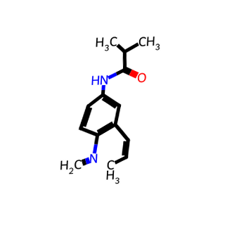 C=Nc1ccc(NC(=O)C(C)C)cc1/C=C\C